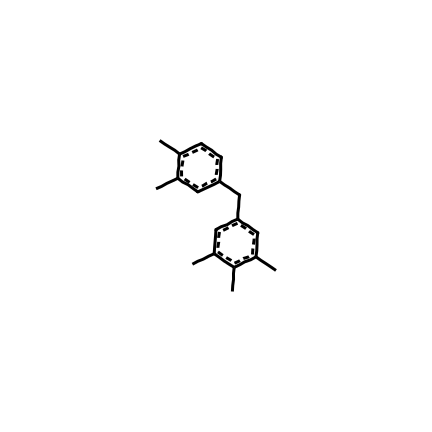 Cc1ccc(Cc2cc(C)c(C)c(C)c2)cc1C